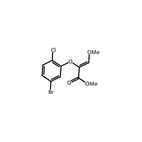 CO/C=C(\Oc1cc(Br)ccc1Cl)C(=O)OC